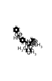 C[C@H]1COC[C@H](C)N1c1cc(C2(S(C)(=O)=O)CC2)nc(-c2ccc(NC(=O)Oc3ccccc3)cc2)n1